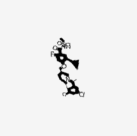 CCS(=O)(=O)NC(=O)c1cc(C2CC2)c(OC[C@@H]2CC[C@@H](C)N([C@H](C)c3cc(Cl)cc(Cl)c3)C2)cc1F